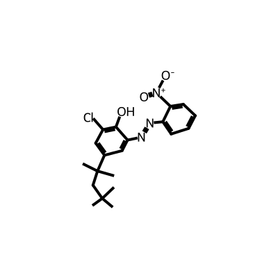 CC(C)(C)CC(C)(C)c1cc(Cl)c(O)c(/N=N/c2ccccc2[N+](=O)[O-])c1